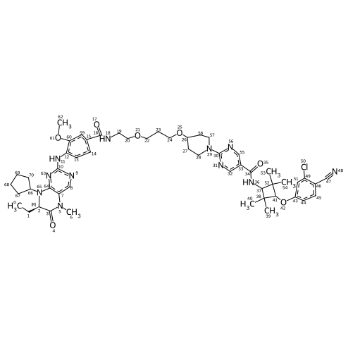 CC[C@@H]1C(=O)N(C)c2cnc(Nc3ccc(C(=O)NCCOCCCOC4CCN(c5ncc(C(=O)NC6C(C)(C)C(Oc7ccc(C#N)c(Cl)c7)C6(C)C)cn5)CC4)cc3OC)nc2N1C1CCCC1